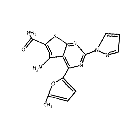 Cc1ccc(-c2nc(-n3cccn3)nc3sc(C(N)=O)c(N)c23)o1